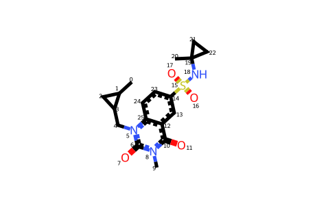 CC1CC1Cn1c(=O)n(C)c(=O)c2cc(S(=O)(=O)NC3(C)CC3)ccc21